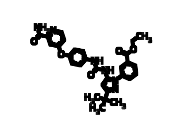 CCOC(=O)c1cccc(-n2nc(C(C)(C)C)cc2NC(=O)Nc2ccc(Oc3ccnc(C(N)=O)c3)cc2)c1